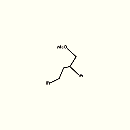 COCC(CCC(C)C)C(C)C